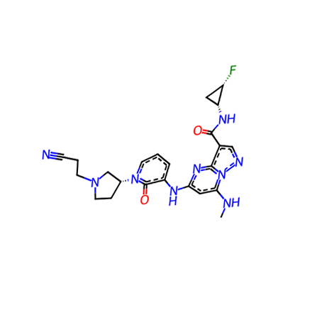 CNc1cc(Nc2cccn([C@@H]3CCN(CCC#N)C3)c2=O)nc2c(C(=O)N[C@@H]3C[C@@H]3F)cnn12